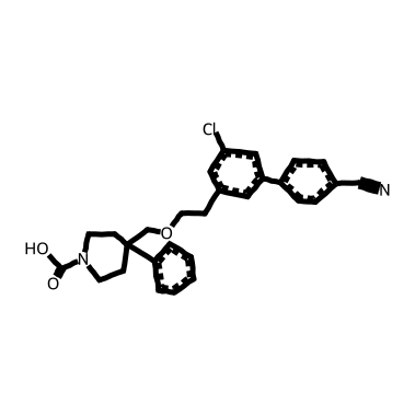 N#Cc1ccc(-c2cc(Cl)cc(CCOCC3(c4ccccc4)CCN(C(=O)O)CC3)c2)cc1